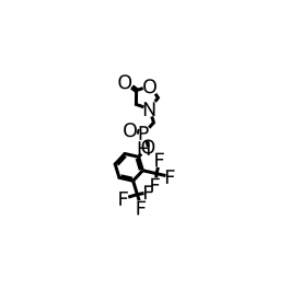 O=C1CN(C[PH](=O)Oc2cccc(C(F)(F)F)c2C(F)(F)F)CO1